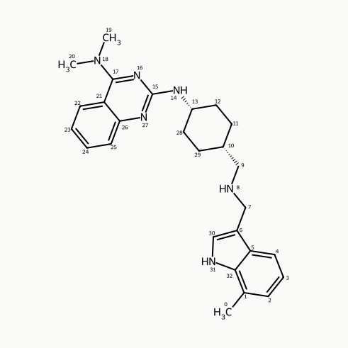 Cc1cccc2c(CNC[C@H]3CC[C@@H](Nc4nc(N(C)C)c5ccccc5n4)CC3)c[nH]c12